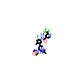 Cc1cn2cc(-c3cc(NC(=O)c4ccnc(C(F)(F)F)c4)c(F)cc3C)cc(N3CCOCC3)c2n1